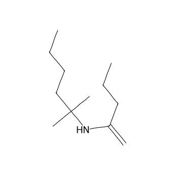 C=C(CCC)NC(C)(C)CCCC